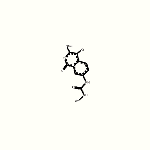 COc1oc(=O)c2cc(NC(=O)NC(C)C)ccc2c1Cl